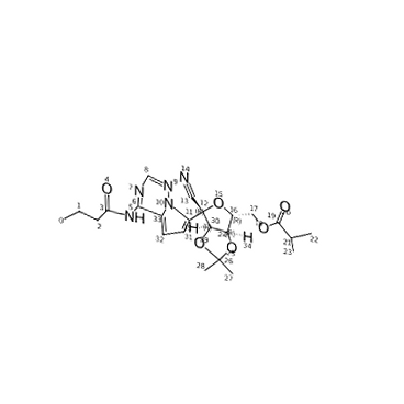 CCCC(=O)Nc1ncnn2c([C@]3(C#N)O[C@H](COC(=O)C(C)C)[C@H]4OC(C)(C)O[C@H]43)ccc12